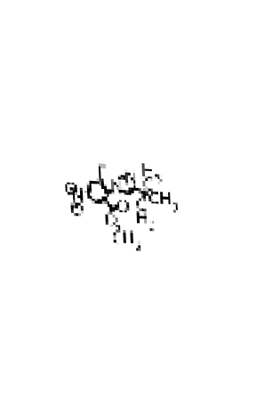 CCOC(=O)c1cc([N+](=O)[O-])cc(F)c1-n1cnc(C(C)(C)C)c1